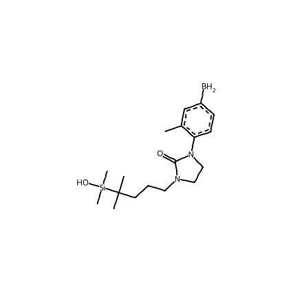 Bc1ccc(N2CCN(CCCC(C)(C)[Si](C)(C)O)C2=O)c(C)c1